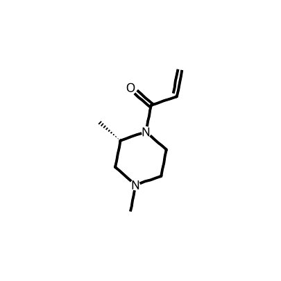 C=CC(=O)N1CCN(C)C[C@@H]1C